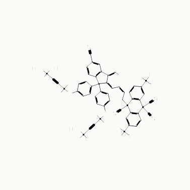 C\C=C1/C(=C\C=C/CC2(C#N)c3ccc(C(F)(F)F)cc3C(C#N)(C#N)c3ccc(C(F)(F)F)cc32)C(c2ccc(OC(F)(F)C#CC(C)(C)C)cc2)(c2ccc(OC(F)(F)C#CC(C)(C)C)cc2)c2ccc(C#N)cc21